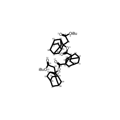 CC(C)COC(=O)CC1(OC(=O)C23CC4CC(C2)CC(C(=O)OC2(CC(=O)OCC(C)C)C5CC6CC(C5)CC2C6)(C4)C3)C2CC3CC(C2)CC1C3